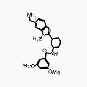 COc1cc(OC)cc(C(=O)NC2CCCC(c3nc4ccc(CN)cc4n3C)C2)c1